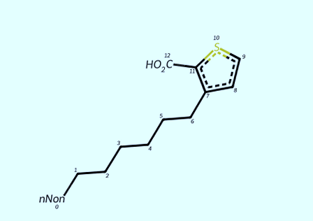 CCCCCCCCCCCCCCCc1ccsc1C(=O)O